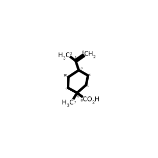 C=C(C)C1CCC(C)(C(=O)O)CC1